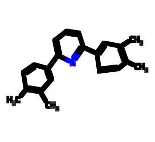 Cc1ccc(-c2cccc(-c3ccc(C)c(C)c3)n2)cc1C